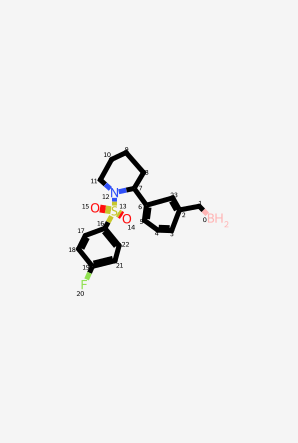 BCc1cccc(C2CCCCN2S(=O)(=O)c2ccc(F)cc2)c1